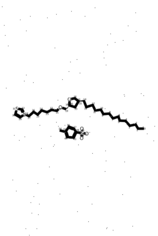 CCCCCCCCCCCCCCC[C@@H]1CO[C@@H](COCCCCCCC[n+]2ccsc2)C1.Cc1ccc(S(=O)(=O)[O-])cc1